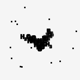 CCOC(=O)N[C@H]1CC[C@@H]2[C@H](C1)C[C@H]1C(=O)O[C@@H](C)[C@@H]1[C@@H]2/C=C/c1ccc(-c2cccc(F)c2)cn1